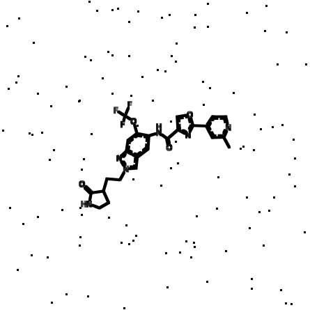 Cc1cc(-c2nc(C(=O)Nc3cc4cn(CCC5CCNC5=O)nc4cc3OC(F)(F)F)co2)ccn1